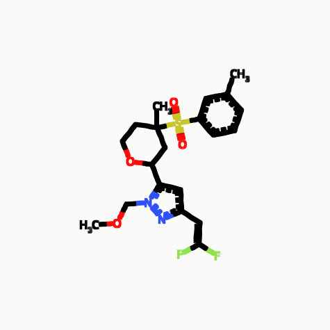 COCn1nc(C=C(F)F)cc1C1CC(C)(S(=O)(=O)c2cccc(C)c2)CCO1